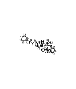 O=C(O[C@H]1C[N+]2(CCCOc3ccccc3)CCC1CC2)C(O)(c1ccccc1)c1cccs1